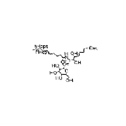 CCCCCCCCCCCCCC[C@@H](O)[C@@H](O)[C@H](COC1OC(CO)C(O)C(O)C1O)N[C@@H](CCCCCCC[Si](C)(CCCCCCC)CCCCCCC)C(F)(F)F